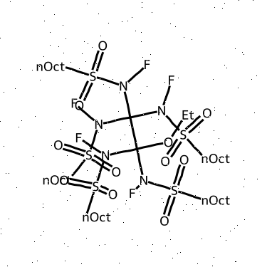 CCCCCCCCS(=O)(=O)N(F)C(OCC)(N(F)S(=O)(=O)CCCCCCCC)C(N(F)S(=O)(=O)CCCCCCCC)(N(F)S(=O)(=O)CCCCCCCC)N(F)S(=O)(=O)CCCCCCCC